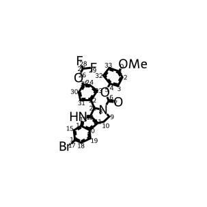 COc1ccc(OC(=O)N2CCc3c([nH]c4cc(Br)ccc34)C2c2ccc(OC(F)F)cc2)cc1